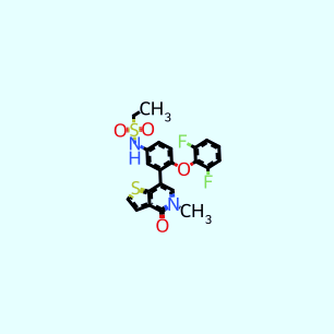 CCS(=O)(=O)Nc1ccc(Oc2c(F)cccc2F)c(-c2cn(C)c(=O)c3ccsc23)c1